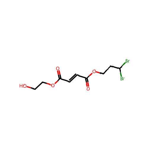 O=C(C=CC(=O)OCCC(Br)Br)OCCO